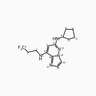 FC(F)(F)CCNc1cc(NC2CCCC2)nn2ccnc12